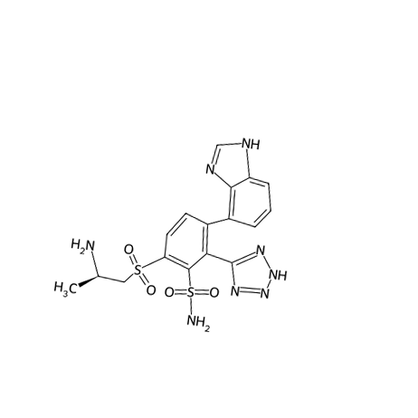 C[C@@H](N)CS(=O)(=O)c1ccc(-c2cccc3[nH]cnc23)c(-c2nn[nH]n2)c1S(N)(=O)=O